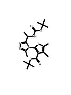 Cc1sc(-n2c(C)nnc2C(C)NC(=O)OC(C)(C)C)c(C(=O)OC(C)(C)C)c1C